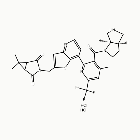 Cc1cc(C(F)(F)F)nc(-c2ccnc3cc(CN4C(=O)C5C(C4=O)C5(C)C)sc23)c1C(=O)N1CC[C@@H]2CNC[C@@H]21.Cl.Cl